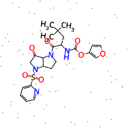 CC(C)(C)CC(NC(=O)Oc1ccoc1)C(=O)N1CCC2C1C(=O)CN2S(=O)(=O)c1ccccn1